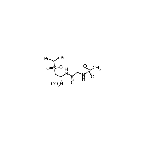 CCCC(CCC)S(=O)(=O)C[C@H](NC(=O)CNS(C)(=O)=O)C(=O)O